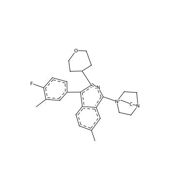 Cc1ccc2c(-c3ccc(F)c(C)c3)c(C3CCOCC3)nc([N+]34CCN(CC3)CC4)c2c1